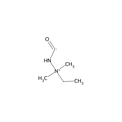 CC[N+](C)(C)N[C]=O